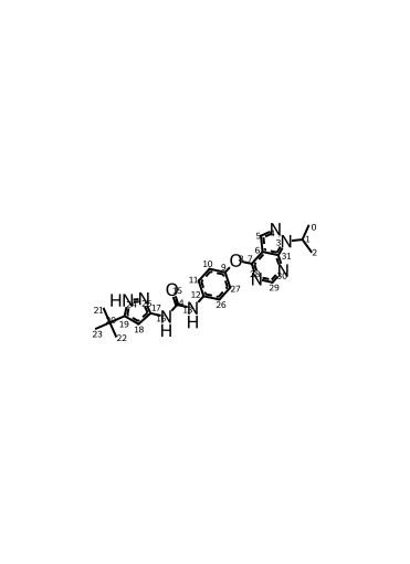 CC(C)n1ncc2c(Oc3ccc(NC(=O)Nc4cc(C(C)(C)C)[nH]n4)cc3)ncnc21